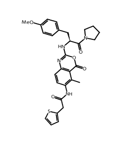 COc1ccc(C[C@H](Nc2nc3ccc(NC(=O)Cc4cccs4)c(C)c3c(=O)o2)C(=O)N2CCCC2)cc1